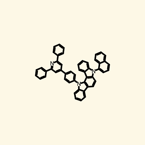 c1ccc(-c2cc(-c3ccc(-n4c5ccccc5c5ccc6c(c7ccccc7n6-c6cccc7ccccc67)c54)cc3)cc(-c3ccccc3)n2)cc1